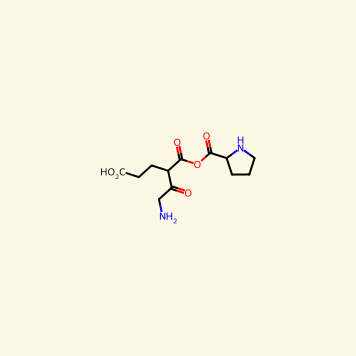 NCC(=O)C(CCC(=O)O)C(=O)OC(=O)C1CCCN1